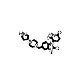 Cn1c(=O)n(C2CCC(=O)NC2=O)c2ccc(CN3CCN([C@@H]4CCNC4)CC3)cc21